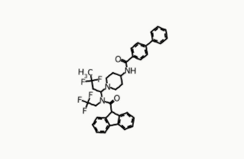 CC(F)(F)CC(N1CCC(NC(=O)c2ccc(-c3ccccc3)cc2)CC1)N(CC(F)(F)F)C(=O)C1c2ccccc2-c2ccccc21